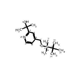 CC(C)(O)c1cc(CO[Si](C)(C)C(C)(C)C)ccn1